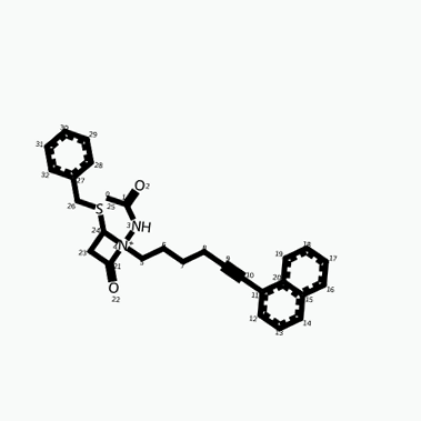 CC(=O)N[N+]1(CCCCC#Cc2cccc3ccccc23)C(=O)CC1SCc1ccccc1